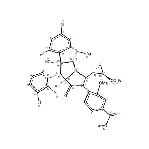 CCOC(=O)[C@@H]1C[C@H]1[C@@H]1N(c2ccc(C(=O)OC)cc2OC)C(=O)[C@H]2[C@H](c3cccc(Cl)c3F)[C@@](C#N)(c3ccc(Cl)cc3F)[C@H](CC(C)(C)C)N12